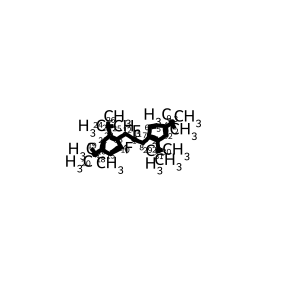 CC(C)(C)c1ccc(CC(F)(F)Cc2ccc(C(C)(C)C)cc2C(C)(C)C)c(C(C)(C)C)c1